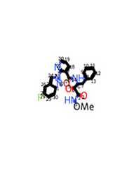 CONC(=O)C(=O)C(Cc1ccccc1)NC(=O)c1cccnc1-n1cc2cc(F)ccc2n1